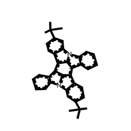 CC(C)(C)c1ccc2c3c4c5ccccc5n5c6cc(C(C)(C)C)ccc6c(c6c7ccccc7n(c2c1)c63)c45